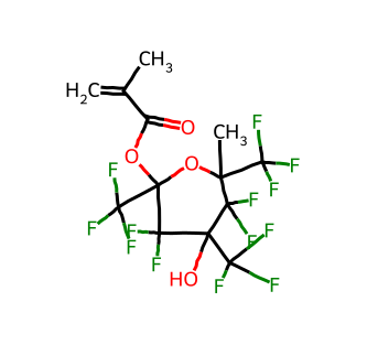 C=C(C)C(=O)OC1(C(F)(F)F)OC(C)(C(F)(F)F)C(F)(F)C(O)(C(F)(F)F)C1(F)F